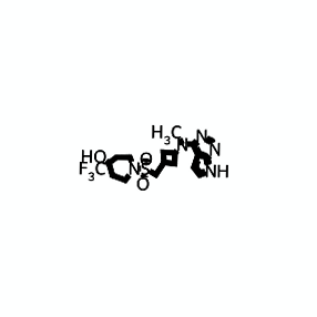 CN(c1ncnc2[nH]ccc12)C1CC(CS(=O)(=O)N2CCC(O)(C(F)(F)F)CC2)C1